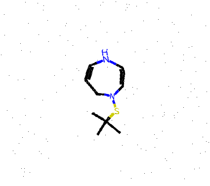 CC(C)(C)SN1C=CNC=CC1